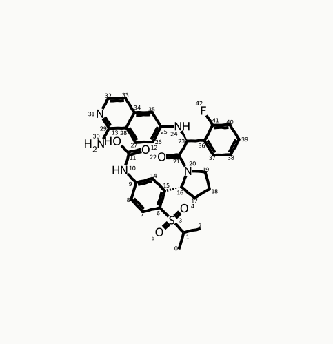 CC(C)S(=O)(=O)c1ccc(NC(=O)O)cc1[C@H]1CCCN1C(=O)[C@@H](Nc1ccc2c(N)nccc2c1)c1ccccc1F